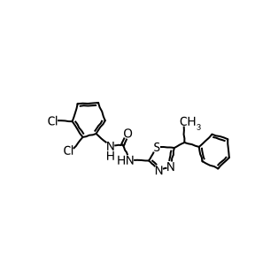 CC(c1ccccc1)c1nnc(NC(=O)Nc2cccc(Cl)c2Cl)s1